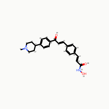 CN1CCC(c2ccc(C(=O)C=Cc3ccc(C=CC(=O)NO)cc3)cc2)CC1